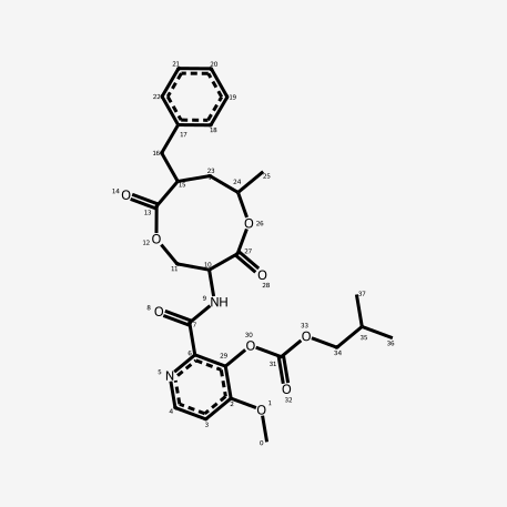 COc1ccnc(C(=O)NC2COC(=O)C(Cc3ccccc3)[CH]C(C)OC2=O)c1OC(=O)OCC(C)C